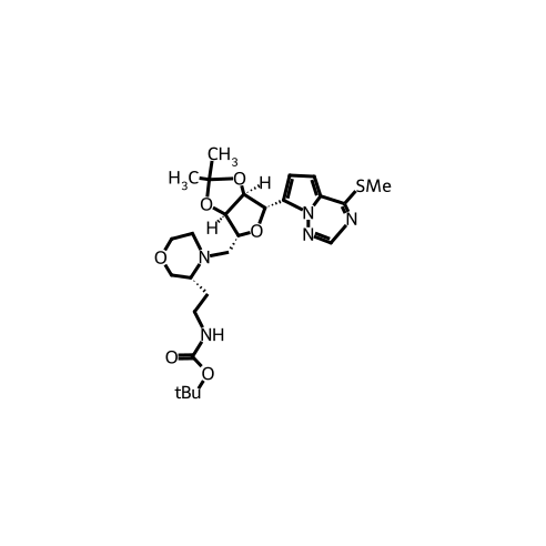 CSc1ncnn2c([C@@H]3O[C@H](CN4CCOC[C@H]4CCNC(=O)OC(C)(C)C)[C@H]4OC(C)(C)O[C@H]43)ccc12